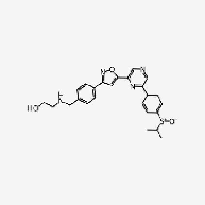 CC(C)[S+]([O-])c1ccc(-c2cncc(-c3cc(-c4ccc(CNCCO)cc4)no3)n2)cc1